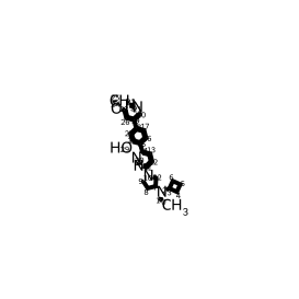 CCN(C1CCC1)[C@@H]1CCN(c2ccc(-c3ccc(-c4cnnc(OC)c4)cc3O)nn2)C1